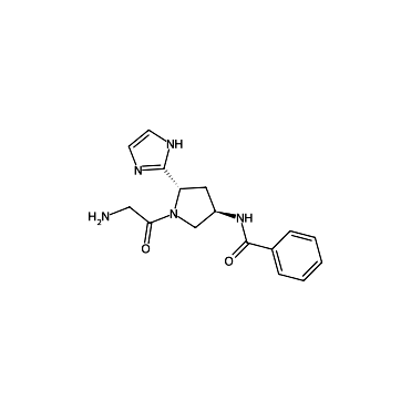 NCC(=O)N1C[C@H](NC(=O)c2ccccc2)C[C@H]1c1ncc[nH]1